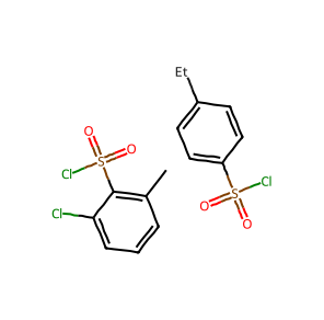 CCc1ccc(S(=O)(=O)Cl)cc1.Cc1cccc(Cl)c1S(=O)(=O)Cl